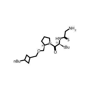 CCCCC1CC(COC[C@H]2CCCN2C(=O)[C@@H](NC(=S)CN)C(C)(C)C)C1